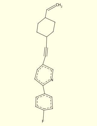 C=CC1CCC(C#Cc2ccc(-c3ccc(F)cc3)nc2)CC1